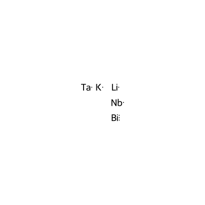 [Bi].[K].[Li].[Nb].[Ta]